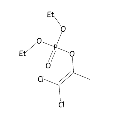 CCOP(=O)(OCC)OC(C)=C(Cl)Cl